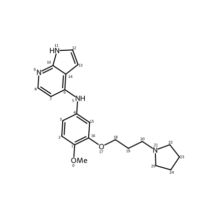 COc1ccc(Nc2ccnc3[nH]ccc23)cc1OCCCN1CCCC1